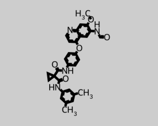 COc1cc2nccc(Oc3ccc(NC(=O)C4(C(=O)Nc5cc(C)cc(C)c5)CC4)cc3)c2cc1NC=O